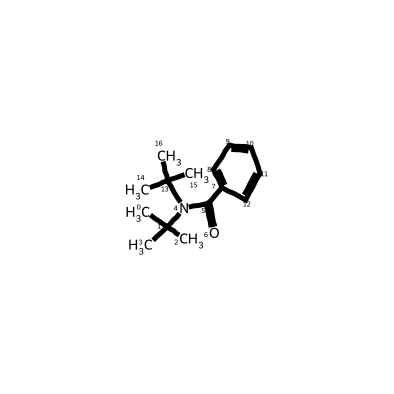 CC(C)(C)N(C(=O)c1ccccc1)C(C)(C)C